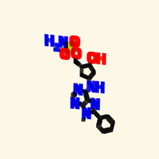 Cn1c(-c2ccccc2)nc2c(N[C@@H]3C[C@@H](COS(N)(=O)=O)[C@@H](O)C3)ncnc21